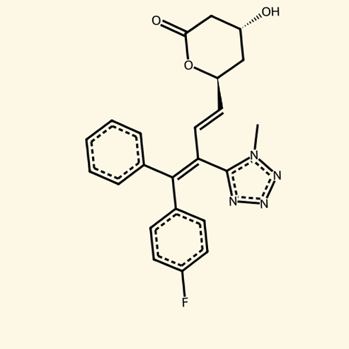 Cn1nnnc1C(/C=C/[C@@H]1C[C@@H](O)CC(=O)O1)=C(/c1ccccc1)c1ccc(F)cc1